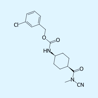 CN(C#N)C(=O)[C@H]1CC[C@@H](NC(=O)OCc2cccc(Cl)c2)CC1